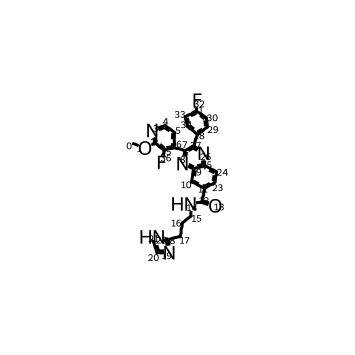 COc1nccc(-c2nc3cc(C(=O)NCCCc4ncc[nH]4)ccc3nc2-c2ccc(F)cc2)c1F